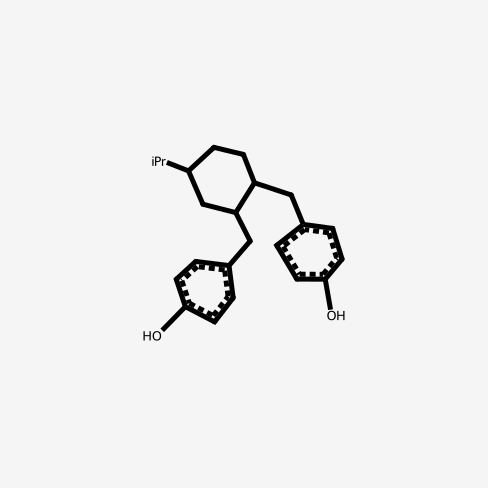 CC(C)C1CCC(Cc2ccc(O)cc2)C(Cc2ccc(O)cc2)C1